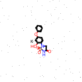 O=C1CN(c2ccc(Oc3ccccc3)cc2O)S(=O)(=O)N1.[K]